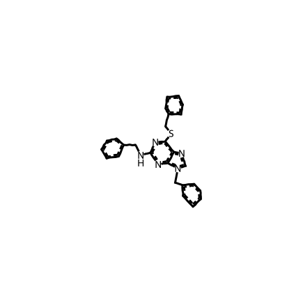 c1ccc(CNc2nc(SCc3ccccc3)c3ncn(Cc4ccccc4)c3n2)cc1